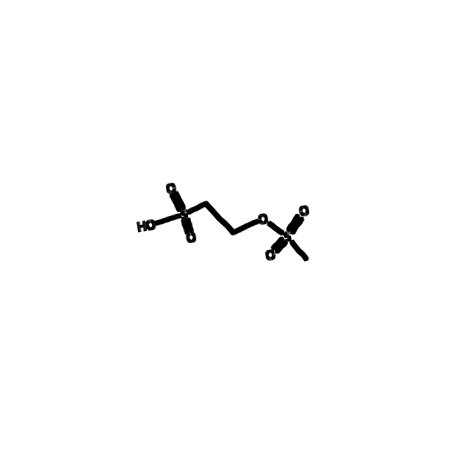 CS(=O)(=O)OCCS(=O)(=O)O